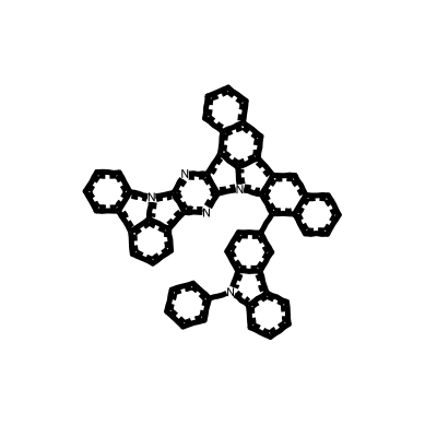 c1ccc(-n2c3ccccc3c3cc(-c4c5ccccc5cc5c6cc7ccccc7c7c8nc9c(nc8n(c45)c67)c4cccc5c6ccccc6n9c54)ccc32)cc1